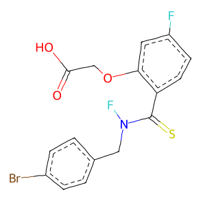 O=C(O)COc1cc(F)ccc1C(=S)N(F)Cc1ccc(Br)cc1